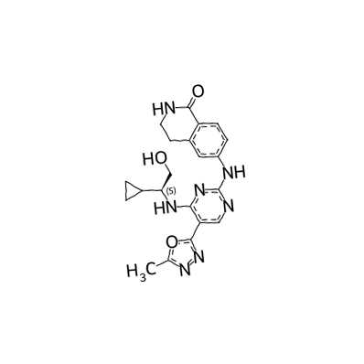 Cc1nnc(-c2cnc(Nc3ccc4c(c3)CCNC4=O)nc2N[C@H](CO)C2CC2)o1